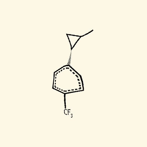 CC1C[C@H]1c1ccc(C(F)(F)F)cc1